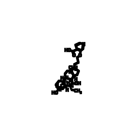 CC[C@H]1[C@@H](O)[C@@H]2[C@H](CC[C@]3(C)[C@@H](CCCOc4cnccc4C(=O)O)CC[C@@H]23)[C@@]2(C)CC[C@@H](O)C[C@@H]12